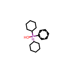 O[PH](c1ccccc1)(C1CCCCC1)C1CCCCC1